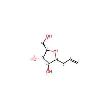 C=CCC1O[C@H](CO)[C@@H](O)[C@@H]1O